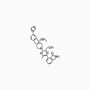 Cc1nc(N2CCC3(CC2)Cc2ccc(-n4ccnc4)cc2[C@H]3N)c(CO)nc1-c1cccc2c1C(=O)NC2